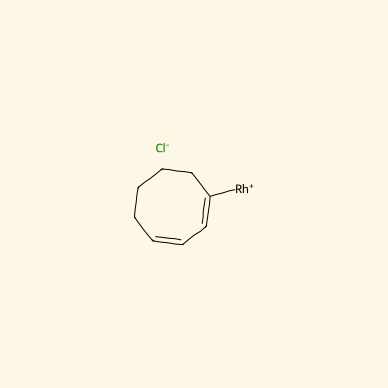 [Cl-].[Rh+]/[C]1=C/C=C\CCCC1